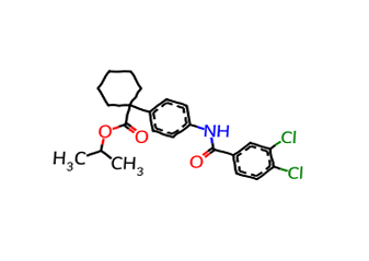 CC(C)OC(=O)C1(c2ccc(NC(=O)c3ccc(Cl)c(Cl)c3)cc2)CCCCC1